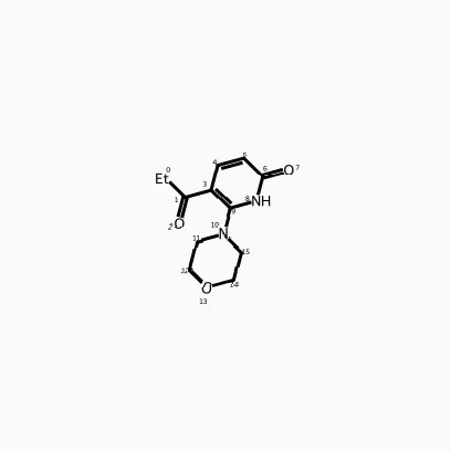 CCC(=O)c1ccc(=O)[nH]c1N1CCOCC1